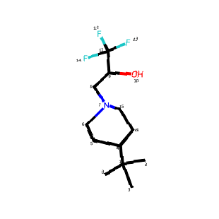 CC(C)(C)C1CCN(CC(O)C(F)(F)F)CC1